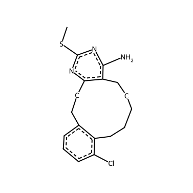 CSc1nc(N)c2c(n1)CCc1cccc(Cl)c1CCCCC2